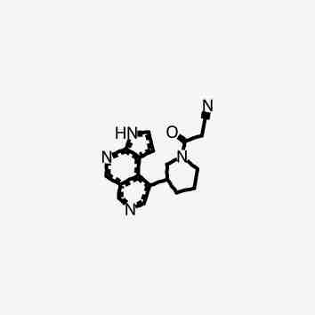 N#CCC(=O)N1CCCC(c2cncc3cnc4[nH]ccc4c23)C1